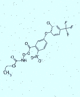 CCOC(=O)NOOC(=O)c1cc(Oc2ccc(C(F)(F)F)cc2Cl)ccc1[N+](=O)[O-]